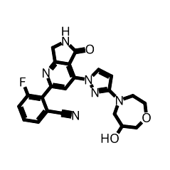 N#Cc1cccc(F)c1-c1cc(-n2ccc(N3CCOCC(O)C3)n2)c2c(n1)CNC2=O